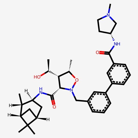 C[C@@H]1[C@@H](NC(=O)[C@@H]2[C@H]([C@H](C)O)[C@H](C)ON2Cc2cccc(-c3cccc(C(=O)N[C@@H]4CCN(C)C4)c3)c2)C[C@H]2C[C@@H]1C2(C)C